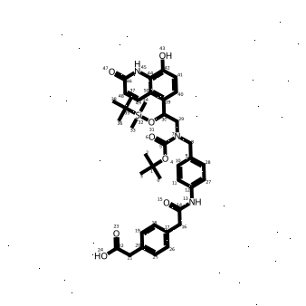 CC(C)(C)OC(=O)N(Cc1ccc(NC(=O)Cc2ccc(CC(=O)O)cc2)cc1)CC(O[Si](C)(C)C(C)(C)C)c1ccc(O)c2[nH]c(=O)ccc12